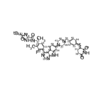 Cc1c([C@@H](C)NC(=O)c2noc(C(C)(C)C)n2)ccc(-c2ncnc3[nH]c4cc(N5CCN(Cc6ccc(SC7CCC(=O)NC7=O)cc6)CC5)ccc4c23)c1F